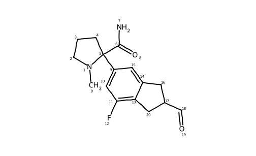 CN1CCCC1(C(N)=O)c1cc(F)c2c(c1)CC(C=O)C2